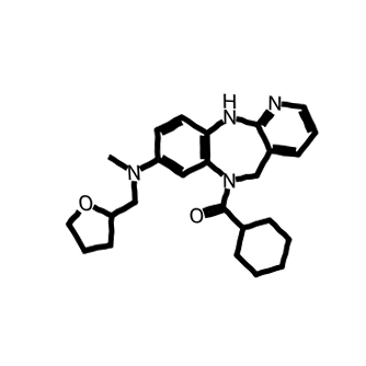 CN(CC1CCCO1)c1ccc2c(c1)N(C(=O)C1CCCCC1)Cc1cccnc1N2